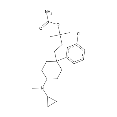 CN(C1CC1)C1CCC(CCC(C)(C)OC(N)=O)(c2cccc(Cl)c2)CC1